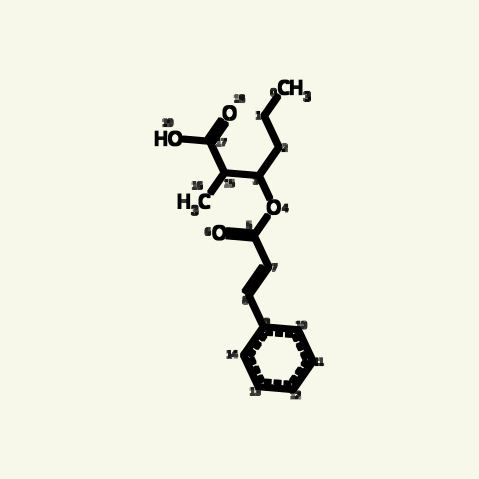 CCCC(OC(=O)C=Cc1ccccc1)C(C)C(=O)O